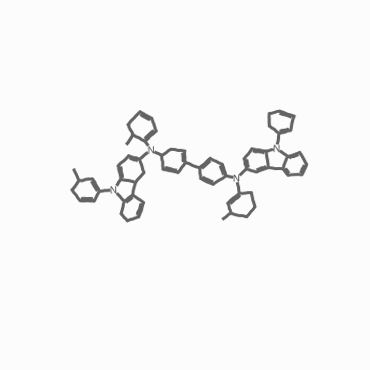 CC1C=C(N2C3=CC=C(N(C4=CC=CCC4C)C4C=CC(c5ccc(N(C6=CC(C)CCC6)c6ccc7c(c6)c6ccccc6n7C6=CC=CCC6)cc5)=CC4)CC3C3=C2CCC=C3)C=CC1